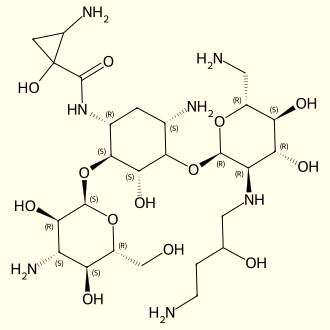 NCCC(O)CN[C@H]1[C@@H](OC2[C@@H](N)C[C@@H](NC(=O)C3(O)CC3N)[C@H](O[C@H]3O[C@H](CO)[C@@H](O)[C@H](N)[C@H]3O)[C@H]2O)O[C@H](CN)[C@@H](O)[C@@H]1O